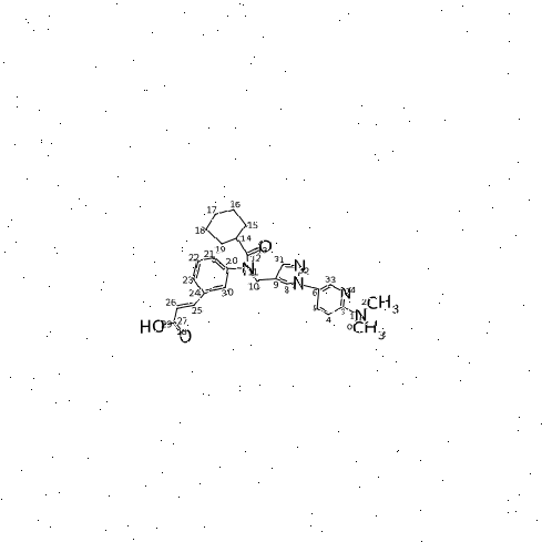 CN(C)c1ccc(-n2cc(CN(C(=O)C3CCCCC3)c3cccc(C=CC(=O)O)c3)cn2)cn1